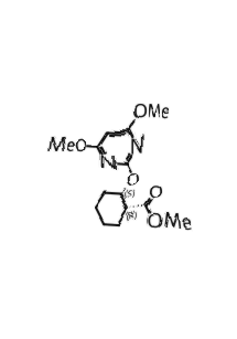 COC(=O)[C@@H]1CCCC[C@@H]1Oc1nc(OC)cc(OC)n1